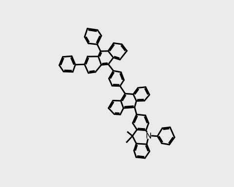 CC1(C)c2ccccc2N(c2ccccc2)c2ccc(-c3c4ccccc4c(-c4ccc(-c5c6ccccc6c(-c6ccccc6)c6cc(-c7ccccc7)ccc56)cc4)c4ccccc34)cc21